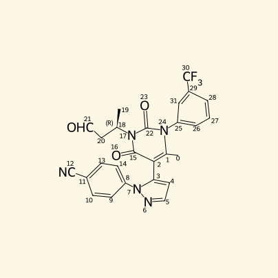 Cc1c(-c2ccnn2-c2ccc(C#N)cc2)c(=O)n([C@H](C)CC=O)c(=O)n1-c1cccc(C(F)(F)F)c1